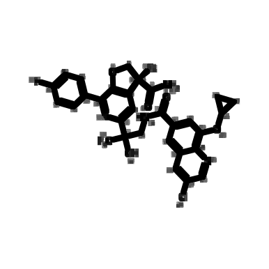 CC[C@]1(C(N)=O)COc2c1cc(C(O)(CNC(=O)c1cc(OC3CC3)c3ncc(Cl)cc3c1)C(F)(F)F)nc2-c1ccc(F)cc1